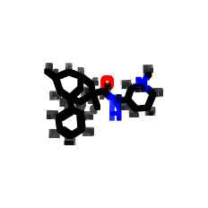 CC1CC2CC(C)(C(=O)NC3CCCN(C)C3)CC(c3ccccc3)(C1)C2